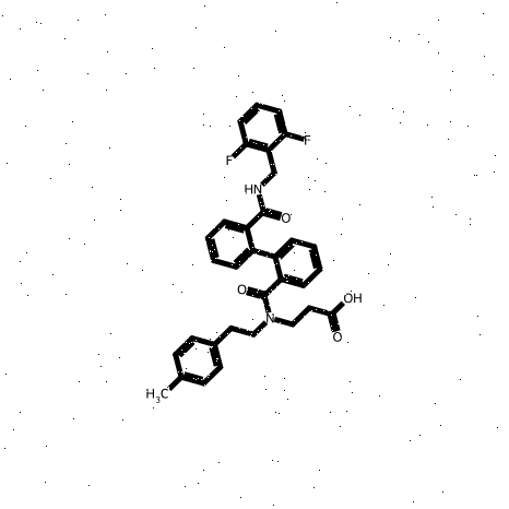 Cc1ccc(CCN(CCC(=O)O)C(=O)c2ccccc2-c2ccccc2C(=O)NCc2c(F)cccc2F)cc1